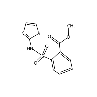 COC(=O)c1ccccc1S(=O)(=O)Nc1nccs1